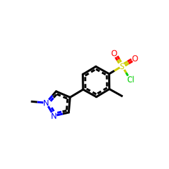 Cc1cc(-c2cnn(C)c2)ccc1S(=O)(=O)Cl